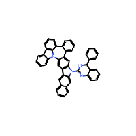 c1ccc(C2NC(n3c4cc5c(cc4c4cc6ccccc6cc43)-n3c4ccccc4c4cccc(c43)-c3ccccc3-5)=Nc3ccccc32)cc1